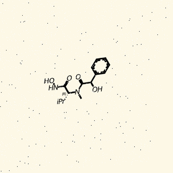 CC(C)[C@H](C(=O)NO)N(C)C(=O)C(O)c1ccccc1